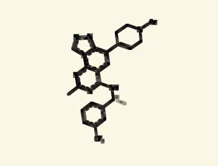 CC(=O)N1CC=C(c2cc3c(N[C@H](C)c4cccc(C(F)(F)F)c4)nc(C)nc3n3cnnc23)CC1